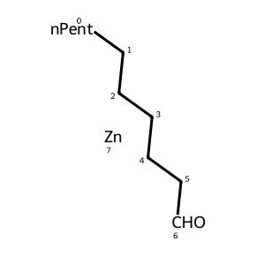 CCCCCCCCCCC=O.[Zn]